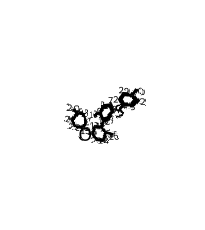 Cc1ccc(Sc2ccc(C)c(C3CC(OC4CCC(C)CC4)CCC3C)c2)cc1